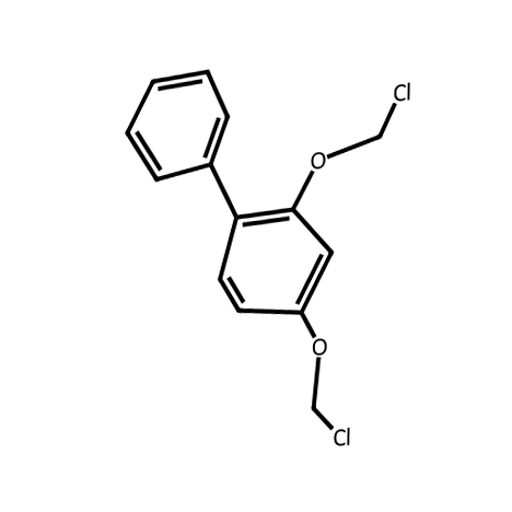 ClCOc1ccc(-c2ccccc2)c(OCCl)c1